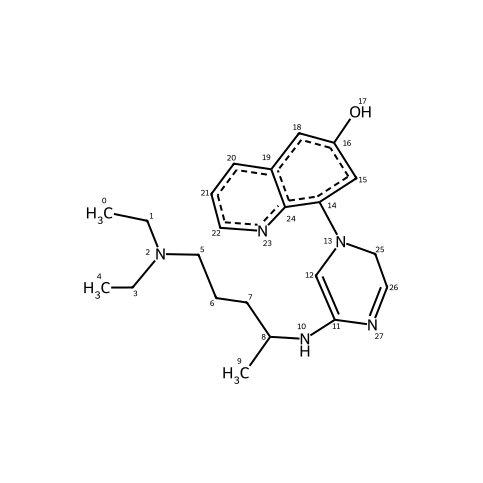 CCN(CC)CCCC(C)NC1=CN(c2cc(O)cc3cccnc23)CC=N1